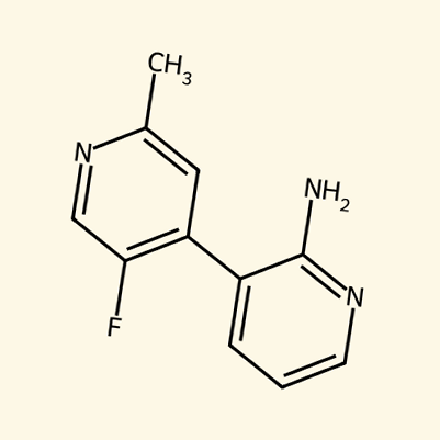 Cc1cc(-c2cccnc2N)c(F)cn1